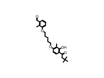 Cc1c(C=O)cccc1OCCCCCOc1ccc(C(=O)CC(C)(C)C)c(O)c1C